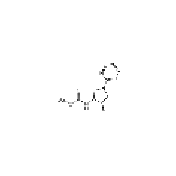 C[C@@H]1CN(c2ccccn2)CC1NC(=O)OC(C)(C)C